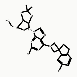 CC1(C)OC2C(O1)[C@@H](CO)O[C@H]2n1cnc2c(N3CC4(CCc5ccc(F)cc54)C3)nc(Cl)nc21